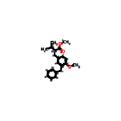 COC(=O)[C@@H](Cc1ccc(OC)c(Cc2ccccc2)c1)C(C)C